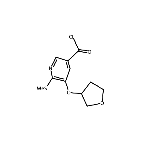 CSc1ncc(C(=O)Cl)cc1OC1CCOC1